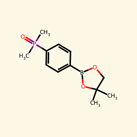 CC1(C)COB(c2ccc(P(C)(C)=O)cc2)O1